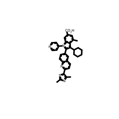 Cc1nc(C)c(-c2ccc3cc(-c4c(C5CCCCC5)c5c(C)cc(C(=O)O)cc5n4-c4ccncc4)ccc3n2)s1